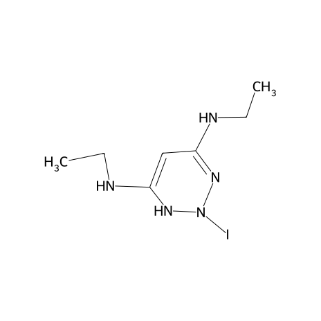 CCNC1=CC(NCC)=NN(I)N1